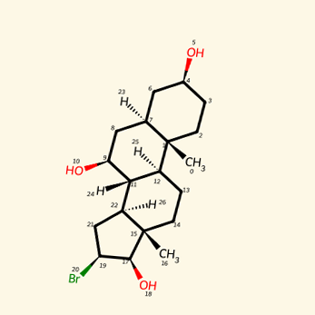 C[C@]12CC[C@H](O)C[C@@H]1C[C@H](O)[C@@H]1[C@@H]2CC[C@]2(C)[C@@H](O)[C@@H](Br)C[C@@H]12